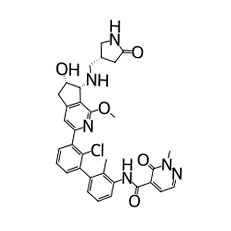 COc1nc(-c2cccc(-c3cccc(NC(=O)c4ccnn(C)c4=O)c3C)c2Cl)cc2c1[C@@H](NC[C@@H]1CNC(=O)C1)[C@@H](O)C2